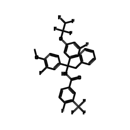 COc1ccc(C(Cc2ccccc2)(NC(=O)c2ccc(F)c(C(F)(F)F)c2)c2cc(F)cc(OC(F)(F)C(F)F)c2)cc1F